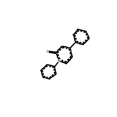 O=c1cc(-c2ccccc2)ccn1-c1ccccc1